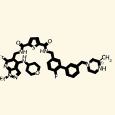 CCc1nc2c(cnn2CC)c(NC2CCOCC2)c1CNC(=O)c1ccc(C(=O)NCc2ccc(F)c(-c3cccc(CN4CCN[C@@H](C)C4)c3)c2)s1